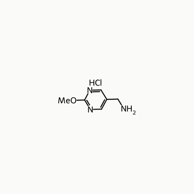 COc1ncc(CN)cn1.Cl